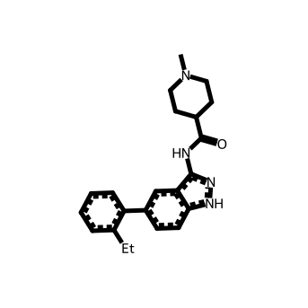 CCc1ccccc1-c1ccc2[nH]nc(NC(=O)C3CCN(C)CC3)c2c1